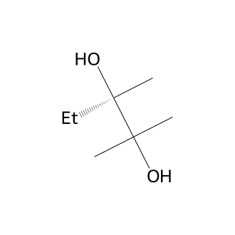 CC[C@@](C)(O)C(C)(C)O